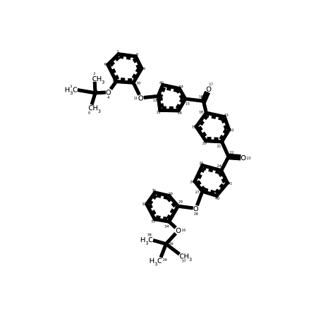 CC(C)(C)Oc1ccccc1Oc1ccc(C(=O)c2ccc(C(=O)c3ccc(Oc4ccccc4OC(C)(C)C)cc3)cc2)cc1